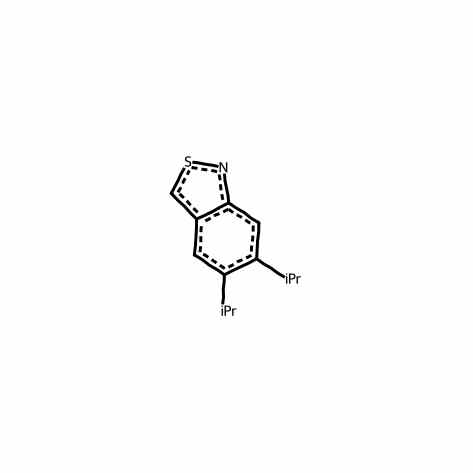 CC(C)c1cc2csnc2cc1C(C)C